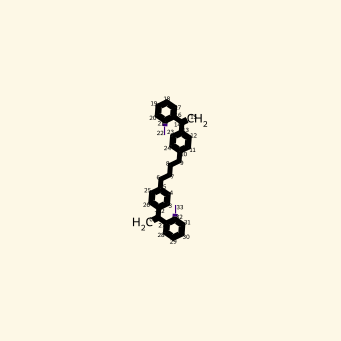 C=C(c1ccc(CCCCc2ccc(C(=C)c3ccccc3I)cc2)cc1)c1ccccc1I